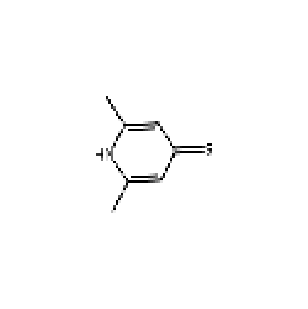 Cc1cc(=S)cc(C)[nH]1